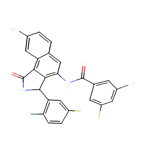 N#Cc1ccc2cc(NC(=O)c3cc(F)cc(C(F)(F)F)c3)c3c(c2c1)C(=O)NC3c1cc(F)ccc1Cl